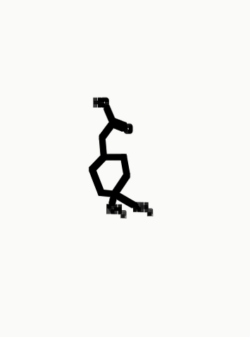 NC1(N)CCC(CC(=O)O)CC1